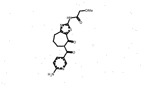 COCC(=O)Nc1nc2c(s1)C(=O)C(C(=O)c1ccc(N)nc1)CCC2